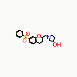 O=S(=O)(c1ccccc1)c1ccc2c(c1)OC(CN1CCC(O)C1)CC2